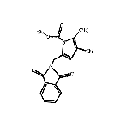 CC(C)(C)OC(=O)n1c(CN2C(=O)c3ccccc3C2=O)cc(C#N)c1C=O